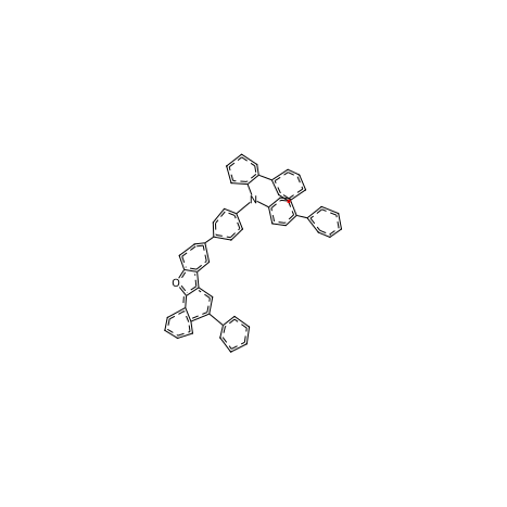 c1ccc(-c2ccc(N(c3ccc(-c4ccc5oc6c7ccccc7c(-c7ccccc7)cc6c5c4)cc3)c3ccccc3-c3ccccc3)cc2)cc1